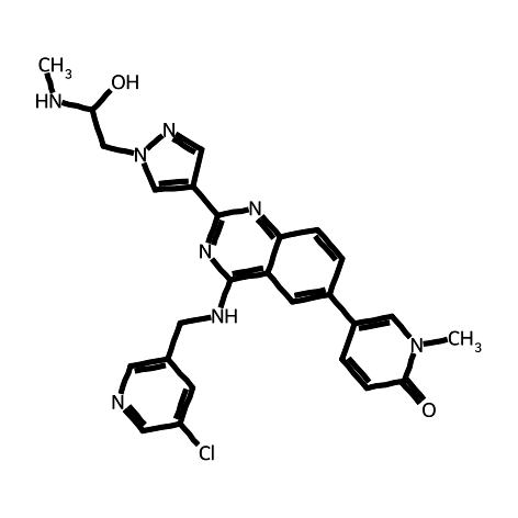 CNC(O)Cn1cc(-c2nc(NCc3cncc(Cl)c3)c3cc(-c4ccc(=O)n(C)c4)ccc3n2)cn1